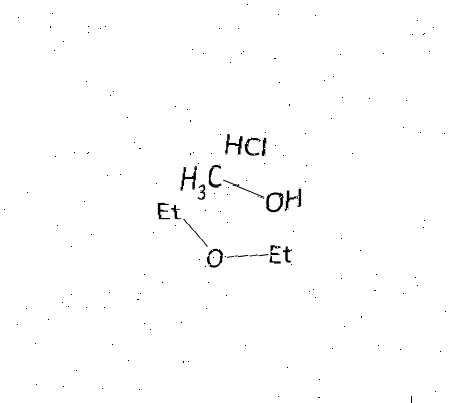 CCOCC.CO.Cl